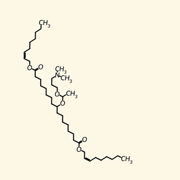 CCCCCC/C=C\COC(=O)CCCCCCCC(CCCCCCCC(=O)OC/C=C\CCCCCC)OC(C)OCCCN(C)C